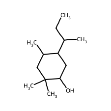 CCC(C)C1CC(O)C(C)(C)CC1C